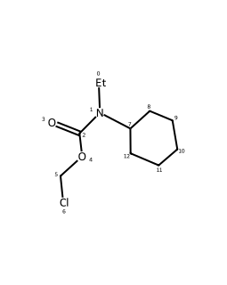 CCN(C(=O)OCCl)C1CCCCC1